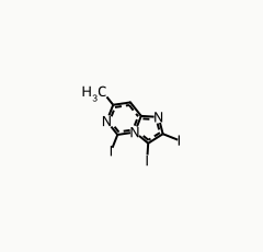 Cc1cc2nc(I)c(I)n2c(I)n1